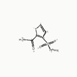 CCCCCS(=O)(=O)c1ccsc1C(N)=O